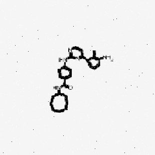 Cc1c(N)cccc1-c1ccnc(Nc2ccc(C(=O)NC3CCCCCCC3)cc2)n1